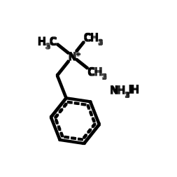 C[N+](C)(C)Cc1ccccc1.I.N